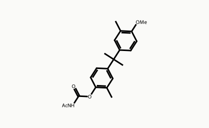 COc1ccc(C(C)(C)c2ccc(OC(=O)NC(C)=O)c(C)c2)cc1C